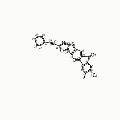 Cc1cc2c(cc1Cl)C(=O)/C(=C/c1cc3oc(C#Cc4ccccc4)nc3s1)C2=O